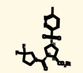 CCOC(=O)[C@@H]1C[C@@H](S(=O)(=O)c2ccc(C)nn2)C[C@H]1C(=O)N1CCC(F)(F)C1